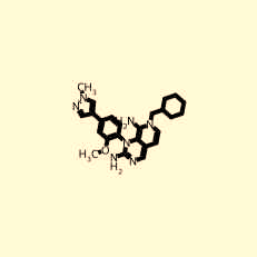 COc1cc(-c2cnn(C)c2)ccc1N1C(N)=NC=C2C=CN(CC3CCCCC3)C(N)=C21